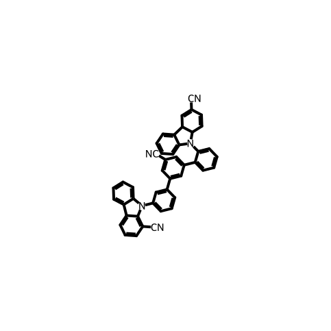 N#CC1=CC2c3ccccc3N(c3ccccc3-c3cc(C#N)cc(-c4cccc(-n5c6ccccc6c6cccc(C#N)c65)c4)c3)C2C=C1